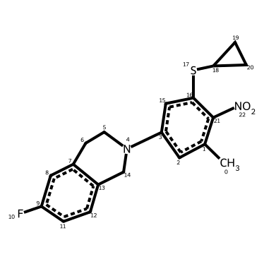 Cc1cc(N2CCc3cc(F)ccc3C2)cc(SC2CC2)c1[N+](=O)[O-]